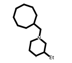 CCC1[CH]CCN(CC2CCCCCCC2)C1